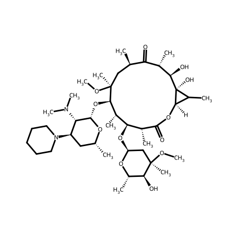 CO[C@]1(C)C[C@H](O[C@H]2[C@H](C)[C@@H](O[C@@H]3O[C@H](C)C[C@@H](N4CCCCC4)[C@@H]3N(C)C)[C@@](C)(OC)C[C@@H](C)C(=O)[C@H](C)[C@@H](O)[C@@]3(O)C(C)[C@H]3OC(=O)[C@@H]2C)O[C@@H](C)[C@@H]1O